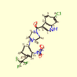 O=C(c1c[nH]c2cc(Cl)ccc12)N1CCN(c2ccc(C(F)(F)F)cc2[N+](=O)[O-])CC1